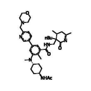 CCCCC1(CNC(=O)c2cc(-c3ccc(CN4CCOCC4)nc3)cc(N(C)[C@H]3CC[C@H](NC(C)=O)CC3)c2C)C(=O)N=C(C)CC1C